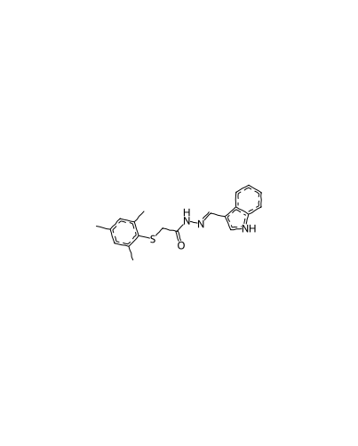 Cc1cc(C)c(SCC(=O)NN=Cc2c[nH]c3ccccc23)c(C)c1